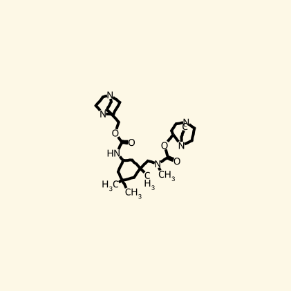 CN(CC1(C)CC(NC(=O)OCC2CN3CCN2CC3)CC(C)(C)C1)C(=O)OC1CCN2CCN1CC2